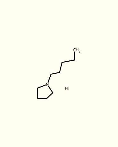 CCCCCN1CCCC1.I